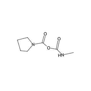 CNC(=O)OC(=O)N1CCCC1